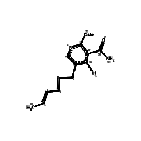 CC=CC=CCc1cnc(OC)c(C(N)=O)c1CC